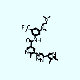 Cc1ncc(C(=O)Nc2cc(N(C)CCN(C)C)cc(C(F)(F)F)c2)cc1-n1cc(-c2cnn(C)c2C)nn1